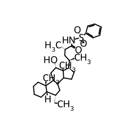 CC[C@H]1CC2C3CC[C@H]([C@H](C)C[C@H](C)C(=O)NS(=O)(=O)c4ccccc4)[C@@]3(C)[C@@H](O)CC2[C@@]2(C)CCCC[C@@H]12